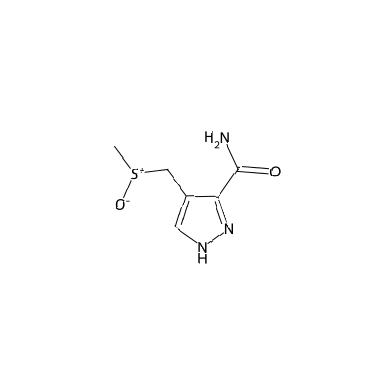 C[S+]([O-])Cc1c[nH]nc1C(N)=O